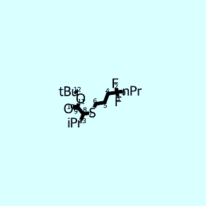 CCCC(F)(F)CCCSC(C(=O)OC(C)(C)C)C(C)C